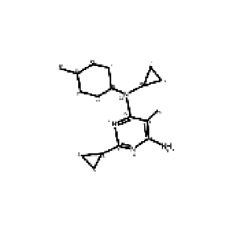 Cc1c(N)nc(C2CC2)nc1N(C1CCC(C)CC1)C1CC1